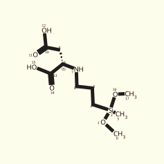 CO[Si](C)(CCCN[C@@H](CC(=O)O)C(=O)O)OC